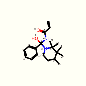 C=CC(=O)NC(O)(c1ccccc1)N1CCC(C)C(C)(C)C1(C)C